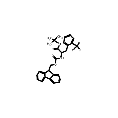 CC(C)(C)OC(=O)C(Cc1ccccc1C(F)(F)F)NC(=O)OCC1c2ccccc2-c2ccccc21